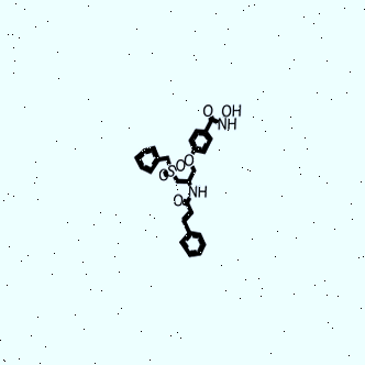 O=C(/C=C/c1ccccc1)NC(COc1ccc(C(=O)NO)cc1)CS(=O)(=O)Cc1ccccc1